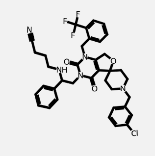 N#CCCCNC(Cn1c(=O)c2c(n(Cc3ccccc3C(F)(F)F)c1=O)COC21CCN(Cc2cccc(Cl)c2)CC1)c1ccccc1